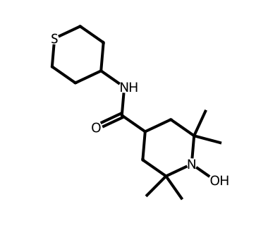 CC1(C)CC(C(=O)NC2CCSCC2)CC(C)(C)N1O